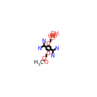 CC(=O)OCCOc1cc(=C(C#N)C#N)c(OCCOS(=O)(=O)O)cc1=C(C#N)C#N